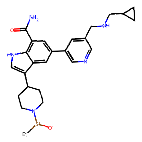 CC[S+]([O-])N1CCC(c2c[nH]c3c(C(N)=O)cc(-c4cncc(CNCC5CC5)c4)cc23)CC1